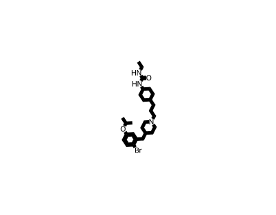 CCNC(=O)NC1CCC(CCCN2CCC(Cc3cc(OC(C)C)ccc3Br)CC2)CC1